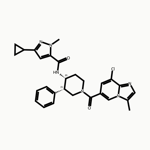 Cc1cnc2c(Cl)cc(C(=O)N3CC[C@@H](NC(=O)c4cc(C5CC5)nn4C)[C@@H](c4ccccc4)C3)cn12